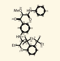 CCC(Oc1cccc(C(C)(C)CC)c1C(C)(C)CC)C(=O)Nc1cccc(C(=O)C(OC)C(=O)Nc2ccccc2)c1